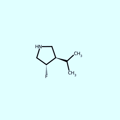 CC(C)[C@@H]1CNC[C@H]1F